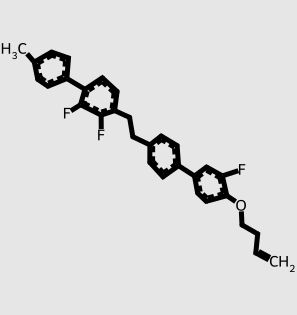 C=CCCOc1ccc(-c2ccc(CCc3ccc(-c4ccc(C)cc4)c(F)c3F)cc2)cc1F